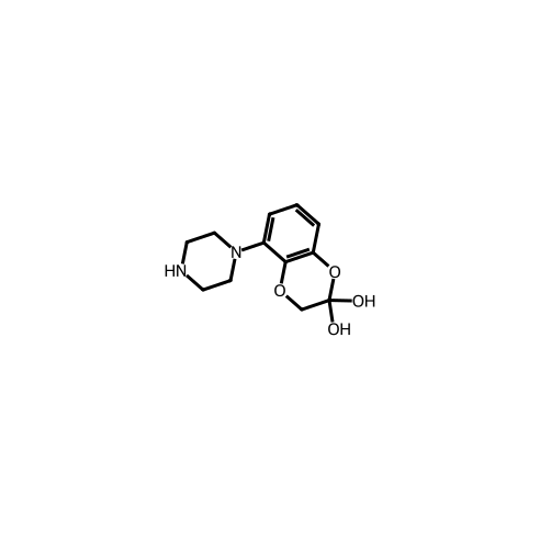 OC1(O)COc2c(cccc2N2CCNCC2)O1